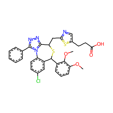 COc1cccc(C2SC(Cc3ncc(CCC(=O)O)s3)c3nnc(-c4ccccc4)n3-c3ccc(Cl)cc32)c1OC